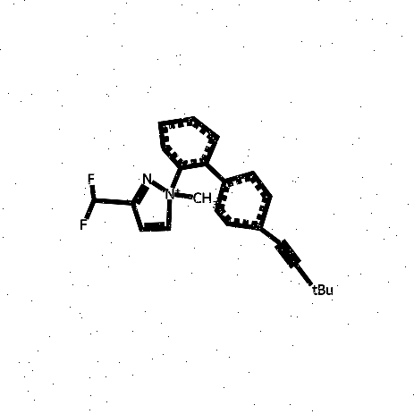 CC(C)(C)C#Cc1ccc(-c2ccccc2[N+]2(C)C=CC(C(F)F)=N2)cc1